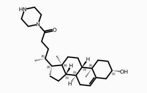 C[C@H](CCC(=O)N1CCNCC1)[C@H]1CC[C@H]2[C@@H]3CC=C4C[C@@H](O)CC[C@]4(C)[C@H]3CC[C@]12C